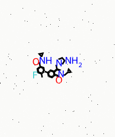 Cc1c(F)cc(C(=O)NC2CC2)cc1-c1ccc2c(=O)n(CC3CC3)cc(CN3CCC(N)C3)c2c1